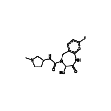 CCC(C)C1C(=O)Nc2cc(F)ccc2CN1C(=O)NC1CCN(C)C1